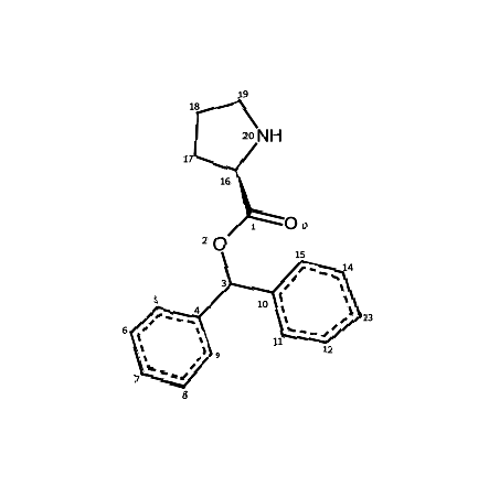 O=C(OC(c1ccccc1)c1ccccc1)[C@H]1CCCN1